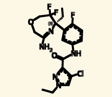 CCn1cc(Cl)c(C(=O)Nc2ccc(F)c([C@@]3(CC)N=C(N)COCC3(F)F)c2)n1